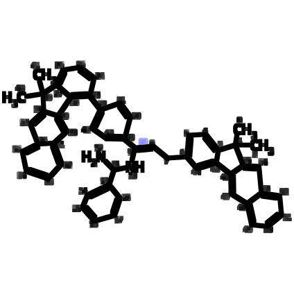 CC1(C)c2ccc(C/C=C(\NC(N)c3ccccc3)c3ccc(-c4cccc5c4-c4cc6ccccc6cc4C5(C)C)cc3)cc2-c2cc3ccccc3cc21